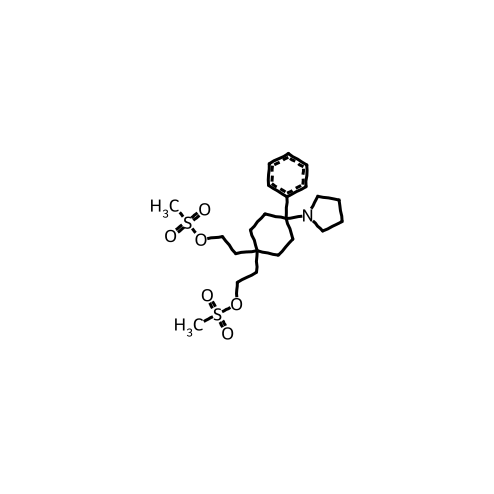 CS(=O)(=O)OCCC1(CCOS(C)(=O)=O)CCC(c2ccccc2)(N2CCCC2)CC1